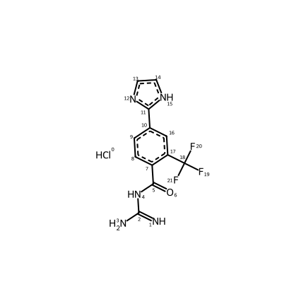 Cl.N=C(N)NC(=O)c1ccc(-c2ncc[nH]2)cc1C(F)(F)F